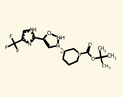 CC(C)(C)OC(=O)N1CCC[C@H](N2C=C(c3nc(C(F)(F)F)c[nH]3)ON2)C1